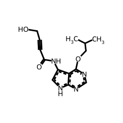 CC(C)COc1ncnc2[nH]cc(NC(=O)C#CCO)c12